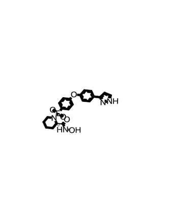 O=C(NO)[C@H]1CCCCN1S(=O)(=O)c1ccc(Oc2ccc(-c3cc[nH]n3)cc2)cc1